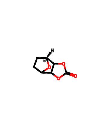 O=C1OC2C3CC[C@@H](O3)C2O1